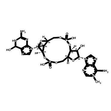 C[n+]1cnc2c(ncn2[C@@H]2O[C@@H]3COP(=O)(O)O[C@@H]4[C@H](O)[C@@H](COP(=O)(O)O[C@H]3[C@H]2O)O[C@H]4n2cnc3c2N=C(N)NC3O)c1N